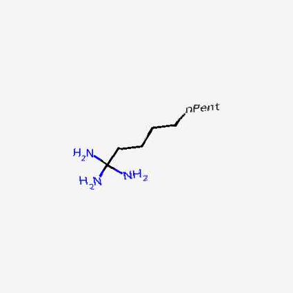 CCCCCCCCCC(N)(N)N